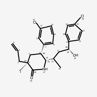 C=CC[C@@]1(C)C[C@H](c2cccc(Cl)c2)[C@H](C(C)C[C@@H](O)c2ccc(Cl)cc2)NC1=O